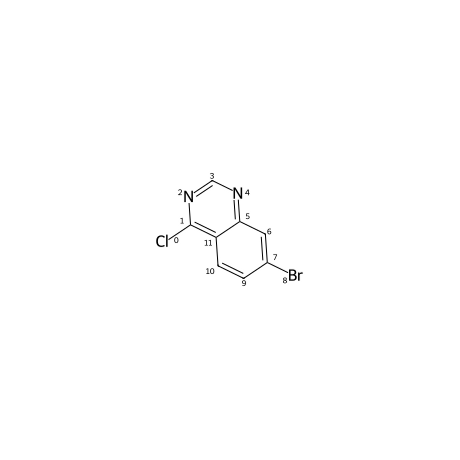 Clc1ncnc2cc(Br)ccc12